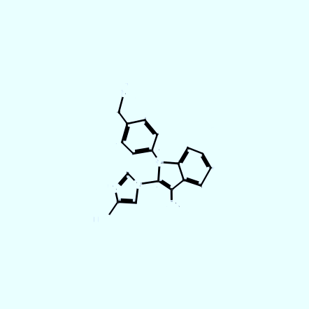 Cc1cn(-c2c(C#N)c3ccccc3n2-c2ccc(CN)cc2)cn1.Cl